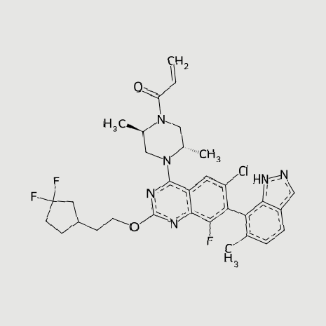 C=CC(=O)N1C[C@H](C)N(c2nc(OCCC3CCC(F)(F)C3)nc3c(F)c(-c4c(C)ccc5cn[nH]c45)c(Cl)cc23)C[C@H]1C